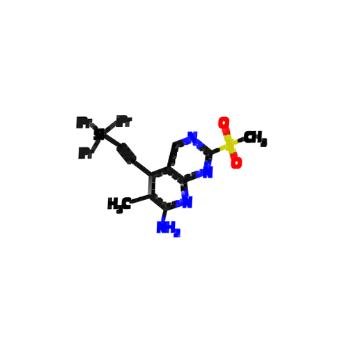 Cc1c(N)nc2nc(S(C)(=O)=O)ncc2c1C#C[Si](C(C)C)(C(C)C)C(C)C